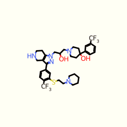 OC(CN1CCC(O)(c2cccc(C(F)(F)F)c2)CC1)Cn1nc(-c2ccc(C(F)(F)F)c(SCCN3CCCCC3)c2)c2c1CCNC2